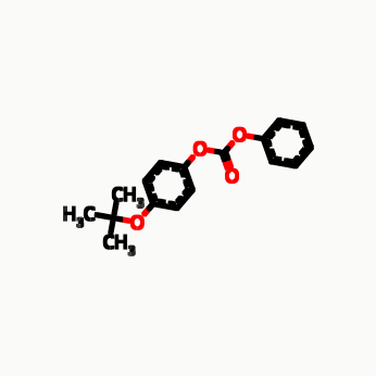 CC(C)(C)Oc1ccc(OC(=O)Oc2ccccc2)cc1